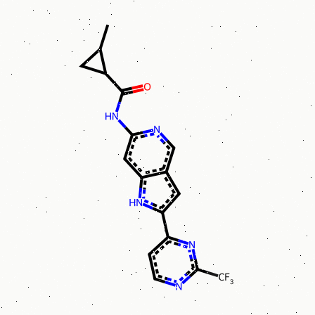 CC1CC1C(=O)Nc1cc2[nH]c(-c3ccnc(C(F)(F)F)n3)cc2cn1